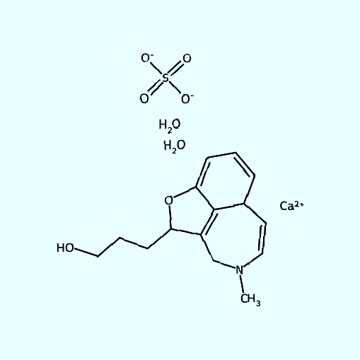 CN1C=CC2C=CC=C3OC(CCCO)C(=C32)C1.O.O.O=S(=O)([O-])[O-].[Ca+2]